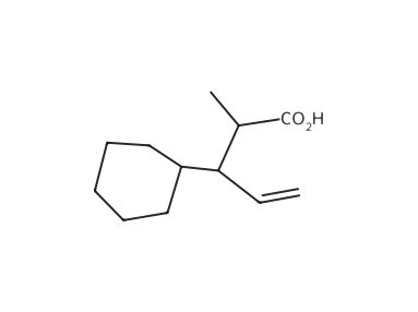 C=CC(C1CCCCC1)C(C)C(=O)O